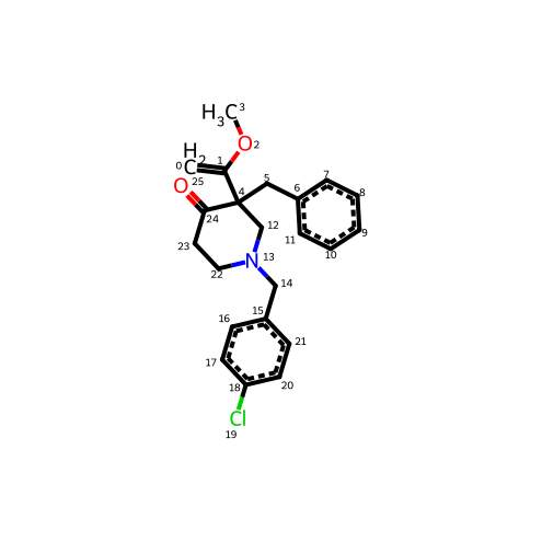 C=C(OC)C1(Cc2ccccc2)CN(Cc2ccc(Cl)cc2)CCC1=O